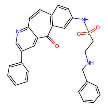 O=c1c2cc(NS(=O)(=O)CCNCc3ccccc3)ccc2ccc2ncc(-c3ccccc3)cc12